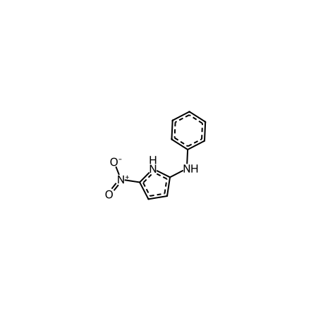 O=[N+]([O-])c1ccc(Nc2ccccc2)[nH]1